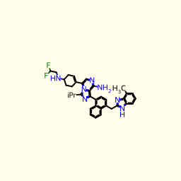 Cc1cccc2[nH]c(Cc3ccc(-c4nc(C(C)C)n5c(C6=CCC(NCC(F)F)CC6)cnc(N)c45)c4ccccc34)nc12